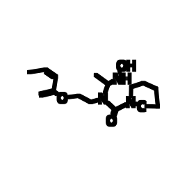 C=C(/C=C\C)OCCN(C(=O)N1CCCCC1)C(C)NO